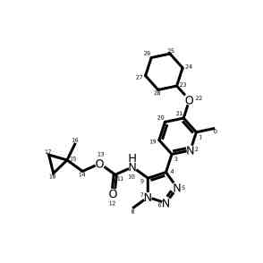 Cc1nc(-c2nnn(C)c2NC(=O)OCC2(C)CC2)ccc1OC1CCCCC1